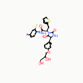 O=C(Nc1ccc(I)cc1F)C(Cc1cccs1)N1C(=O)NC(c2ccc(OCC(O)CO)cc2)C1=O